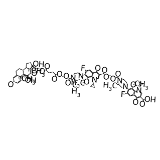 COc1c(N2CCN(C(=O)OCOC(=O)c3cn(C4CC4)c4c(OC)c(N5CCN(C(=O)OCOC(=O)CCC(=O)OCC(=O)[C@@]6(O)CCC7C8CCC9=CC(=O)C=C[C@]9(C)C8[C@@H](O)C[C@@]76C)C(C)C5)c(F)cc4c3=O)C(C)C2)c(F)cc2c(=O)c(C(=O)O)cn(C3CC3)c12